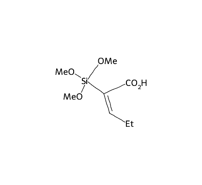 CC/C=C(\C(=O)O)[Si](OC)(OC)OC